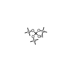 C[Si](C)(C)OC(O)(O[Si](C)(C)C)O[Si](C)(C)C